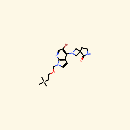 C[Si](C)(C)CCOCn1ccc2c(N3CC4(CCNC4=O)C3)c(Br)cnc21